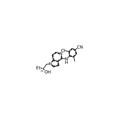 CC[C@H](O)Cn1ccc2c(Nc3c(C)cc(C#N)cc3Cl)nccc21